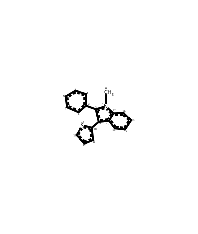 Cn1c(-c2ccccc2)c(-c2cccs2)c2ccccc21